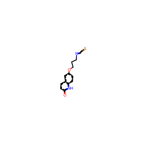 O=c1ccc2cc(OCCCN=C=S)ccc2[nH]1